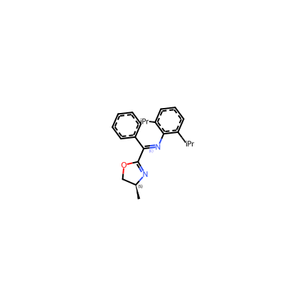 CC(C)c1cccc(C(C)C)c1/N=C(/C1=N[C@@H](C)CO1)c1ccccc1